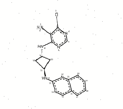 Nc1c(Cl)ncnc1N[C@H]1C[C@H](Nc2ncc3ccccc3n2)C1